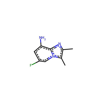 Cc1nc2c(N)cc(F)cn2c1C